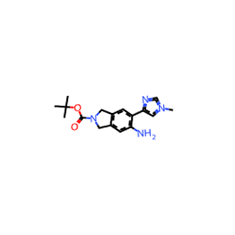 Cn1cnc(-c2cc3c(cc2N)CN(C(=O)OC(C)(C)C)C3)c1